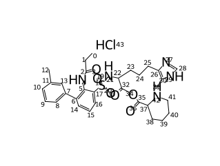 CCC(=O)Nc1c(-c2cccc(C)c2)cccc1S(=O)(=O)NC(CCCc1nc[nH]c1C)C(=O)OC(=O)C1CCCCN1.Cl